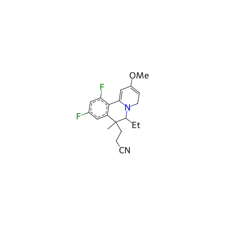 CCC1N2CC=C(OC)C=C2c2c(F)cc(F)cc2C1(C)CCC#N